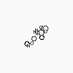 ClC1c2nnc([C@H]3CC[C@H](Oc4ccccn4)CC3)n2-c2ccccc2CC12OCCCCO2